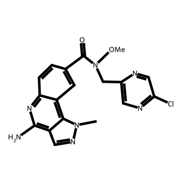 CON(Cc1cnc(Cl)cn1)C(=O)c1ccc2nc(N)c3cnn(C)c3c2c1